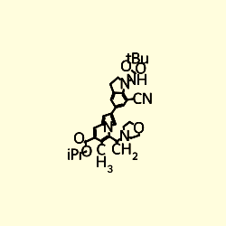 C=C(c1c(C)c(C(=O)OC(C)C)cc2cc(-c3cc(C#N)c4c(c3)CCN4NC(=O)OC(C)(C)C)cn12)N1CCOCC1